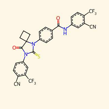 N#Cc1cc(NC(=O)c2ccc(N3C(=S)N(c4ccc(C#N)c(C(F)(F)F)c4)C(=O)C34CCC4)cc2)ccc1C(F)(F)F